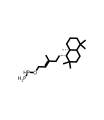 C/C(=C\COPP)CC[C@H]1C(C)(C)CCC2C(C)(C)CCC[C@@]21C